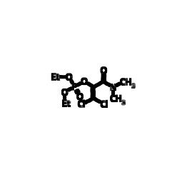 CCOP(=O)(OCC)OC(C(=O)N(C)C)=C(Cl)Cl